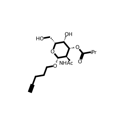 C#CCCCO[C@@H]1O[C@H](CO)[C@H](O)[C@H](OC(=O)C(C)C)[C@H]1NC(C)=O